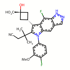 COc1cc(-n2c(C(C)(C)CC#N)c([C@H]3C[C@](O)(C(=O)O)C3)c3c(F)c4[nH]ncc4cc32)ccc1F